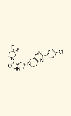 O=C([C@@H]1C[C@H](N2CCc3nc(-c4ccc(Cl)cc4)ncc3C2)CN1)N1CCC(F)(F)C1